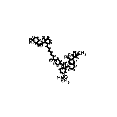 CNC(=O)N1CCc2c(c(N3CCCc4cc(-c5cnn(C)c5)c(C(F)F)cc43)nn2C2CCN(C(=O)CCCCCCc3cccc4c3C(=O)N(C3CCC(=O)NC3O)C4)CC2)C1